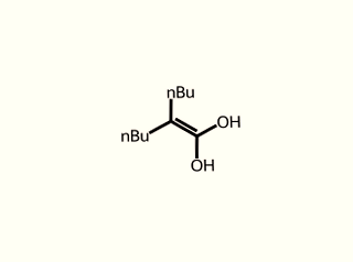 CCCCC(CCCC)=C(O)O